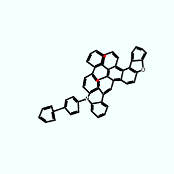 c1ccc(-c2ccc(N(c3ccc(-c4ccccc4)cc3)c3ccccc3-c3ccc4c5ccccc5c5c(ccc6oc7ccccc7c65)c4c3)cc2)cc1